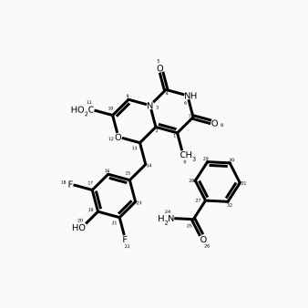 Cc1c2n(c(=O)[nH]c1=O)C=C(C(=O)O)OC2Cc1cc(F)c(O)c(F)c1.NC(=O)c1ccccc1